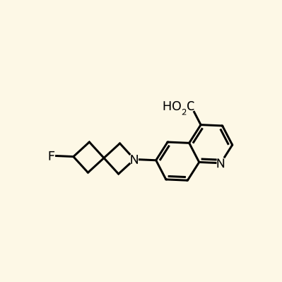 O=C(O)c1ccnc2ccc(N3CC4(CC(F)C4)C3)cc12